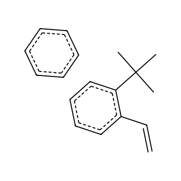 C=Cc1ccccc1C(C)(C)C.c1ccccc1